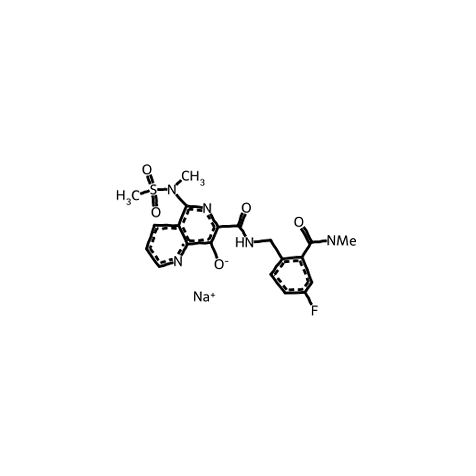 CNC(=O)c1cc(F)ccc1CNC(=O)c1nc(N(C)S(C)(=O)=O)c2cccnc2c1[O-].[Na+]